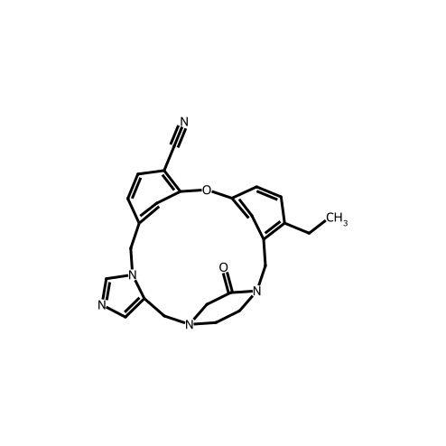 CCc1ccc2cc1CN1CCN(CC1=O)Cc1cncn1Cc1ccc(C#N)c(c1)O2